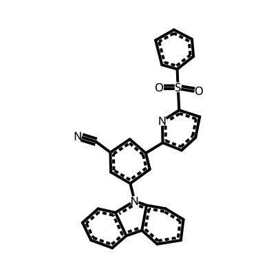 N#Cc1cc(-c2cccc(S(=O)(=O)c3ccccc3)n2)cc(-n2c3ccccc3c3ccccc32)c1